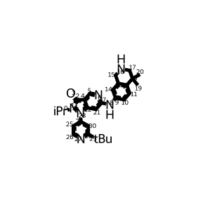 CC(C)n1c(=O)c2cnc(Nc3ccc4c(c3)CNCC4(C)C)cc2n1-c1ccnc(C(C)(C)C)c1